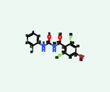 Cc1ccccc1NC(=O)NC(=O)c1c(F)cc(Br)cc1F